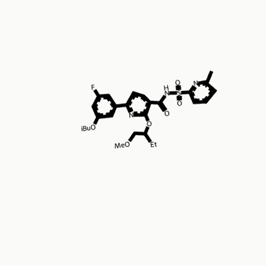 CCC(COC)Oc1nc(-c2cc(F)cc(OCC(C)C)c2)ccc1C(=O)NS(=O)(=O)c1cccc(C)n1